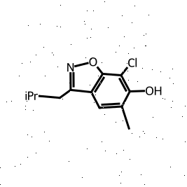 Cc1cc2c(CC(C)C)noc2c(Cl)c1O